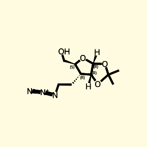 CC1(C)O[C@H]2O[C@H](CO)[C@@H](CCN=[N+]=[N-])[C@H]2O1